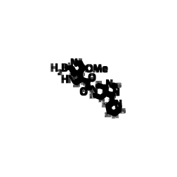 Bc1ncc(OC)c2c(C(=O)C(=O)N3CCc4c(ncnc4-c4ccccn4)C3)c[nH]c12